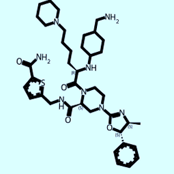 C[C@@H]1N=C(N2CCN(C(=O)[C@@H](CCCCN3CCCCC3)NC3CCC(CN)CC3)[C@H](C(=O)NCc3ccc(C(N)=O)s3)C2)O[C@H]1c1ccccc1